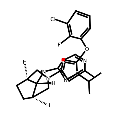 Cc1cc(N2C[C@H]3CC[C@@H](C2)[C@@H]3Nc2nc(Oc3cccc(Cl)c3F)n(C(C)C)n2)ncn1